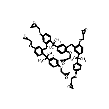 CC(C)(c1ccc(OCC2CO2)cc1)c1ccc(OCC2CO2)c(Cc2cc(C(C)(C)c3ccc(OCC4CO4)cc3Cc3cc(OCC4CO4)ccc3C(C)(C)c3ccc(OCC4CO4)cc3)ccc2OCC2CO2)c1